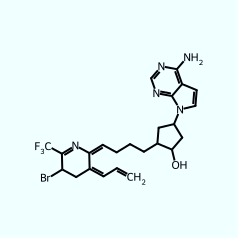 C=C/C=C1/CC(Br)C(C(F)(F)F)=N/C1=C/CCCC1CC(n2ccc3c(N)ncnc32)CC1O